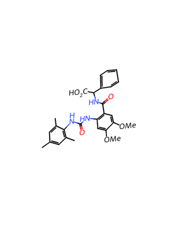 COc1cc(NC(=O)Nc2c(C)cc(C)cc2C)c(C(=O)NC(C(=O)O)c2ccccc2)cc1OC